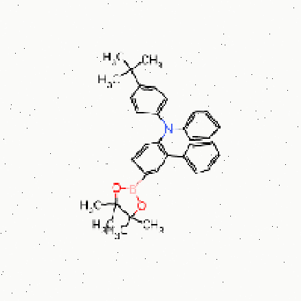 CC(C)(C)c1ccc(N(c2ccccc2)c2ccc(B3OC(C)(C)C(C)(C)O3)cc2-c2ccccc2)cc1